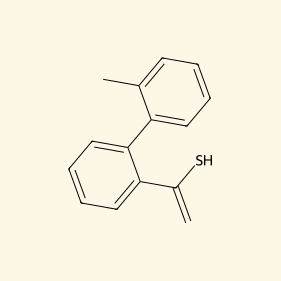 C=C(S)c1ccccc1-c1ccccc1C